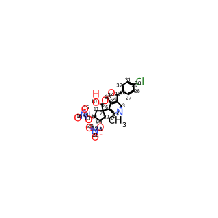 Cc1ncc2c(c1C1(C(=O)O)C[C@H](O[N+](=O)[O-])[C@H](O[N+](=O)[O-])C1)COC2c1ccc(Cl)cc1